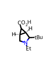 CCN1C[C@H]2C(C(=O)O)[C@H]2C1C(C)(C)C